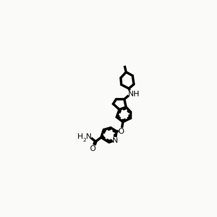 CC1CCC(NC2CCc3cc(Oc4ccc(C(N)=O)cn4)ccc32)CC1